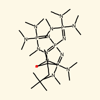 CN(C)P(=NP(=NC(C)(C)CC(C)(C)C)(N=P(N(C)C)(N(C)C)N(C)C)N=P(N(C)C)(N(C)C)N(C)C)(N(C)C)N(C)C